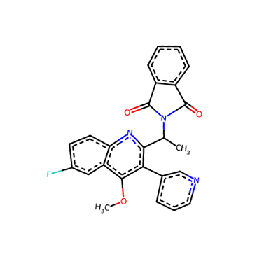 COc1c(-c2cccnc2)c(C(C)N2C(=O)c3ccccc3C2=O)nc2ccc(F)cc12